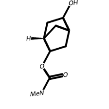 CNC(=O)OC1CC2C[C@H]1CC2O